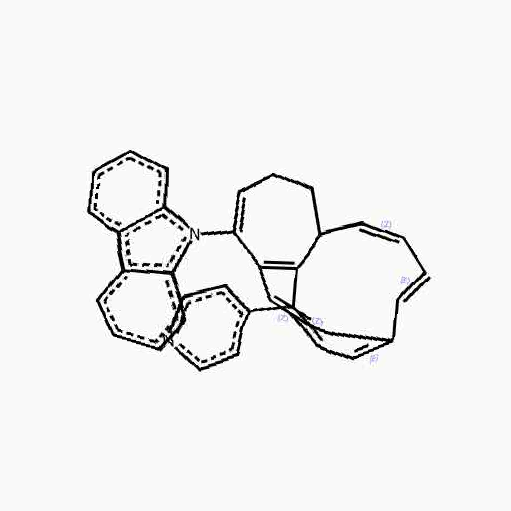 C1=C(n2c3ccccc3c3ccccc32)C2=C3C(\c4ccncc4)=C/C=C(/C=C\2)\C=C\C=C/C3CC1